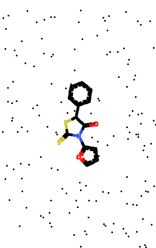 O=C1C(c2ccccc2)SC(=S)N1c1ccco1